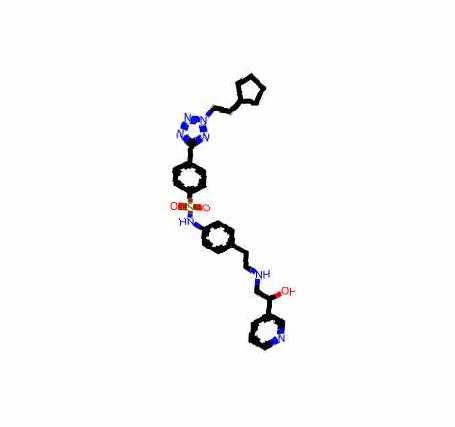 O=S(=O)(Nc1ccc(CCNCC(O)c2cccnc2)cc1)c1ccc(-c2nnn(CCC3CCCC3)n2)cc1